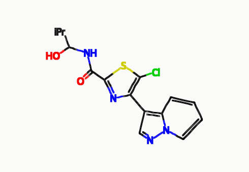 CC(C)C(O)NC(=O)c1nc(-c2cnn3ccccc23)c(Cl)s1